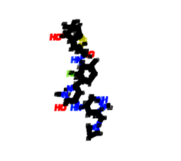 Cc1ccc(C2=NN(C)C(O)C(NC3C=C(CN4CCC4)N(C)NC3)=C2)c(F)c1NC(=O)c1cc2c(s1)CC(C)(C)C2O